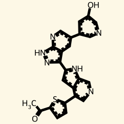 CC(=O)c1ccc(-c2cncc3[nH]c(-c4n[nH]c5ncc(-c6cncc(O)c6)cc45)cc23)s1